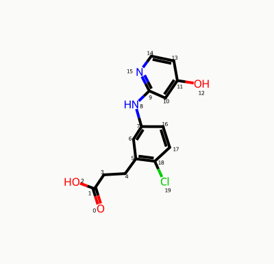 O=C(O)CCc1cc(Nc2cc(O)ccn2)ccc1Cl